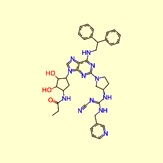 CCC(=O)NC1CC(n2cnc3c(NCC(c4ccccc4)c4ccccc4)nc(N4CC[C@@H](NC(=NC#N)NCc5cccnc5)C4)nc32)C(O)C1O